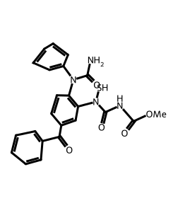 COC(=O)NC(=O)N(S)c1cc(C(=O)c2ccccc2)ccc1N(C(N)=O)c1ccccc1